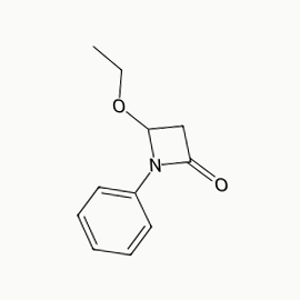 CCOC1CC(=O)N1c1ccccc1